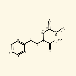 COC(=O)C(CCc1ccncc1)NC(=O)OC(C)(C)C